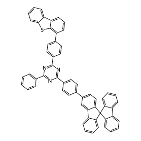 c1ccc(-c2nc(-c3ccc(-c4ccc5c(c4)-c4ccccc4C54c5ccccc5-c5ccccc54)cc3)nc(-c3ccc(-c4cccc5c4sc4ccccc45)cc3)n2)cc1